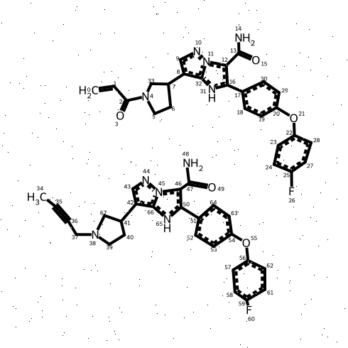 C=CC(=O)N1CCC(c2cnn3c(C(N)=O)c(-c4ccc(Oc5ccc(F)cc5)cc4)[nH]c23)C1.CC#CCN1CCC(c2cnn3c(C(N)=O)c(-c4ccc(Oc5ccc(F)cc5)cc4)[nH]c23)C1